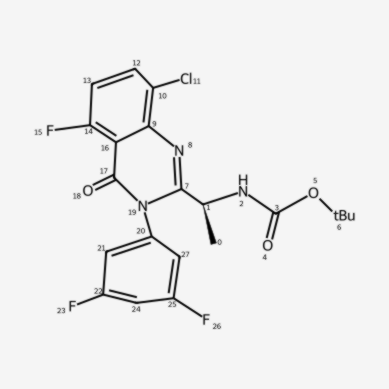 C[C@H](NC(=O)OC(C)(C)C)c1nc2c(Cl)ccc(F)c2c(=O)n1-c1cc(F)cc(F)c1